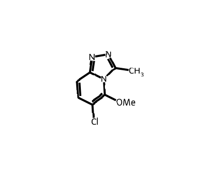 COc1c(Cl)ccc2nnc(C)n12